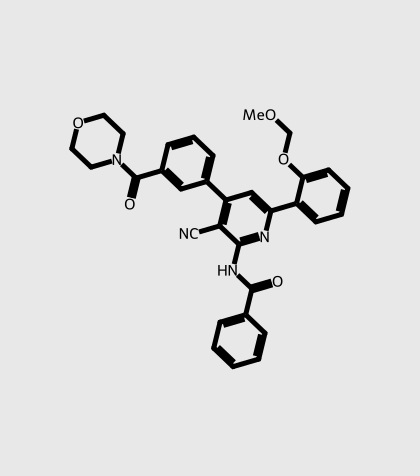 COCOc1ccccc1-c1cc(-c2cccc(C(=O)N3CCOCC3)c2)c(C#N)c(NC(=O)c2ccccc2)n1